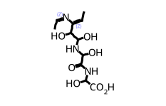 C/C=N\C(=C/C)C(O)C(O)NC(O)C(=O)NC(O)C(=O)O